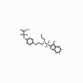 CCCN(CCCc1ccc(OC(C)(C)C(=O)O)cc1)S(=O)(=O)c1sc2ccccc2c1C